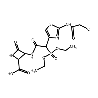 CCOP(=O)(OCC)C(C(=O)NC1C(=O)NC1C(=O)O)c1csc(NC(=O)CCl)n1